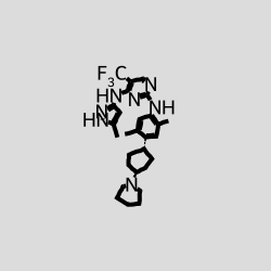 Cc1cc(Nc2nc(Nc3cc(C)c([C@H]4CC[C@H](N5CCCCC5)CC4)cc3C)ncc2C(F)(F)F)n[nH]1